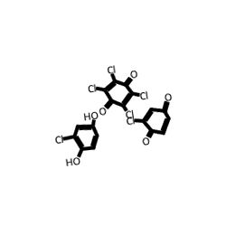 O=C1C(Cl)=C(Cl)C(=O)C(Cl)=C1Cl.O=C1C=CC(=O)C(Cl)=C1.Oc1ccc(O)c(Cl)c1